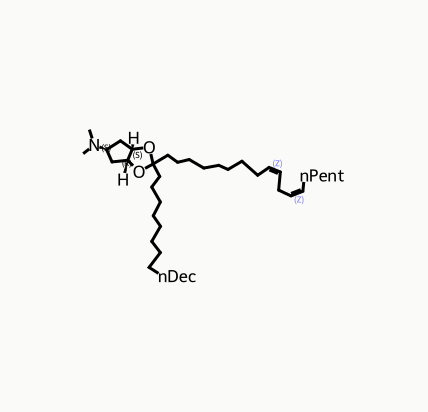 CCCCC/C=C\C/C=C\CCCCCCCCC1(CCCCCCCCCCCCCCCCCC)O[C@H]2C[C@H](N(C)C)C[C@H]2O1